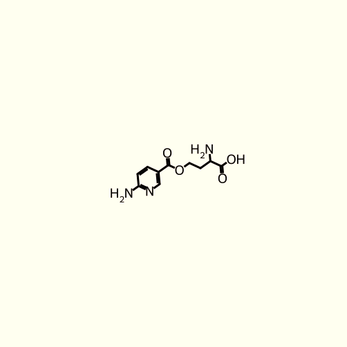 Nc1ccc(C(=O)OCCC(N)C(=O)O)cn1